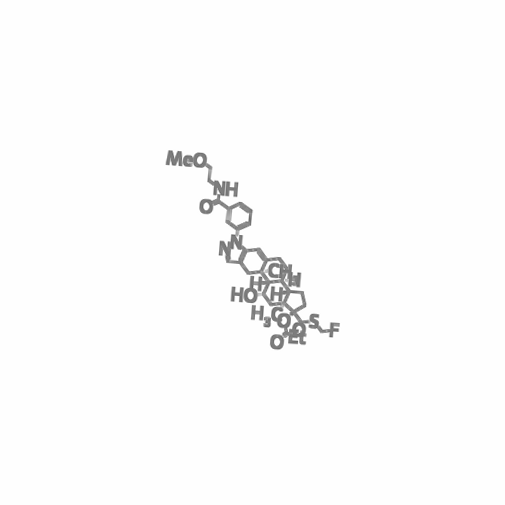 CCC(=O)O[C@]1(C(=O)SCF)CC[C@H]2[C@@H]3CCC4=Cc5c(cnn5-c5cccc(C(=O)NCCOC)c5)C[C@]4(C)[C@H]3[C@@H](O)C[C@@]21C